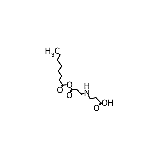 CCCCCCCC(=O)OC(=O)CCNCCC(=O)O